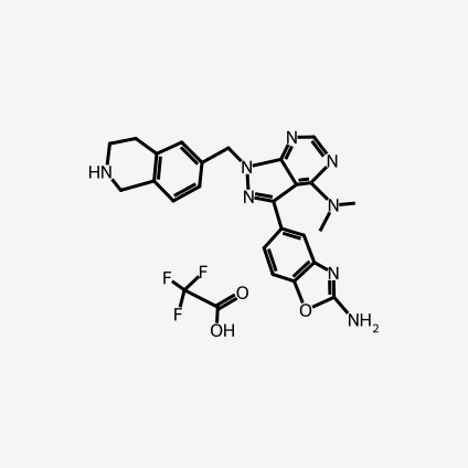 CN(C)c1ncnc2c1c(-c1ccc3oc(N)nc3c1)nn2Cc1ccc2c(c1)CCNC2.O=C(O)C(F)(F)F